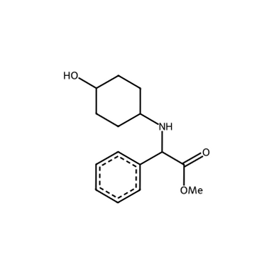 COC(=O)C(NC1CCC(O)CC1)c1ccccc1